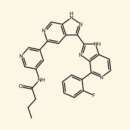 CCCC(=O)Nc1cncc(-c2cc3c(-c4nc5c(-c6ccccc6F)nccc5[nH]4)n[nH]c3cn2)c1